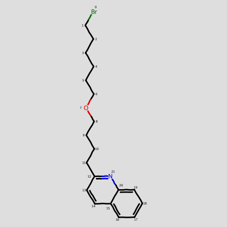 BrCCCCCCOCCCCc1ccc2ccccc2n1